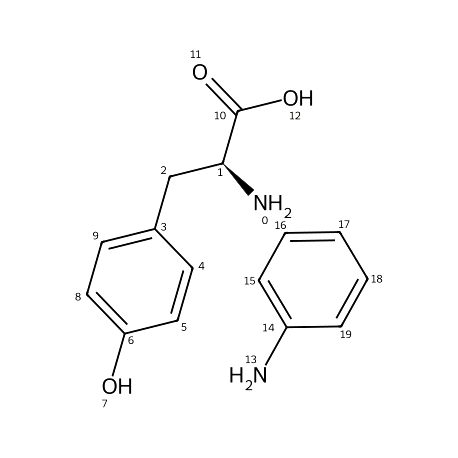 N[C@@H](Cc1ccc(O)cc1)C(=O)O.Nc1ccccc1